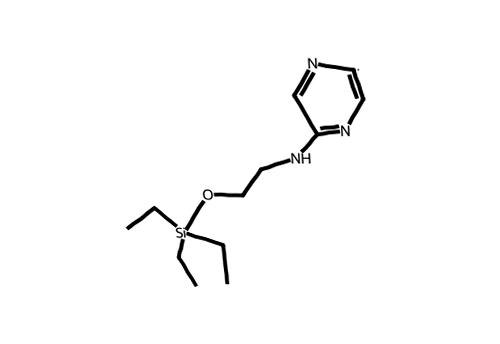 CC[Si](CC)(CC)OCCNc1cn[c]cn1